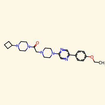 CCOc1ccc(-c2cnc(N3CCN(CC(=O)N4CCN(C5CCC5)CC4)CC3)cn2)cc1